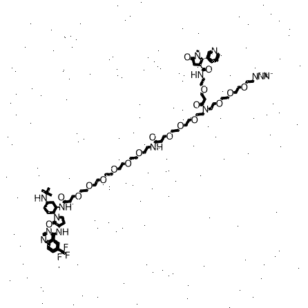 CN1C(=O)C[C@H](C(=O)NCCOCCC(=O)N(CCOCCOCCOCCN=[N+]=[N-])CCOCCOCCOCCC(=O)NCCOCCOCCOCCOCCOCCOCCC(=O)N[C@@H]2C[C@H](NC(C)(C)C)CC[C@@H]2N2CC[C@H](Nc3ncnc4ccc(C(F)(F)F)cc34)C2=O)[C@H]1c1cccnc1